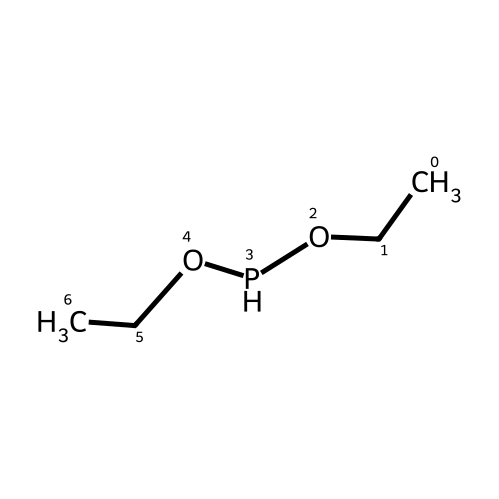 CCOPOCC